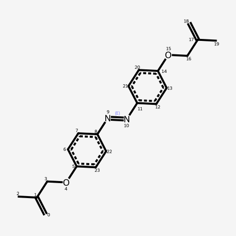 C=C(C)COc1ccc(/N=N/c2ccc(OCC(=C)C)cc2)cc1